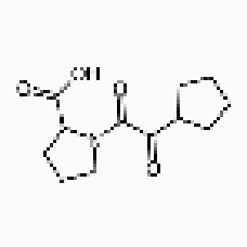 O=C(C(=O)N1CCCC1C(=O)O)C1CCCC1